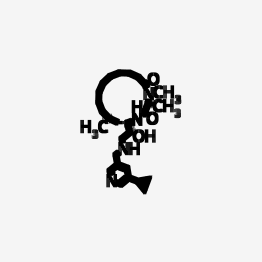 C[C@@H]1CCCCCCCCC(=O)N(C)[C@@H](C)C(=O)N[C@H]([C@H](O)CNCc2cncc(C3CC3)c2)C1